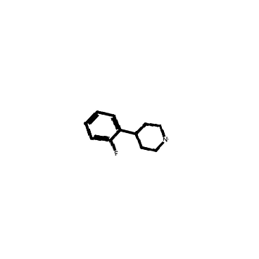 Fc1ccccc1C1CC[N]CC1